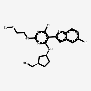 CCOCCNc1nc(Cl)c(-c2cc3cc(CC)ncc3o2)c(N[C@H]2CC[C@@H](CO)C2)n1